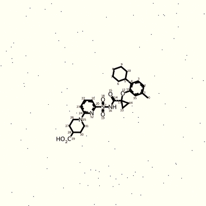 Cc1ccc(C2CCCCC2)c(OC2(C(=O)NS(=O)(=O)c3cccc(N4CCC(C(=O)O)CC4)n3)CC2)c1